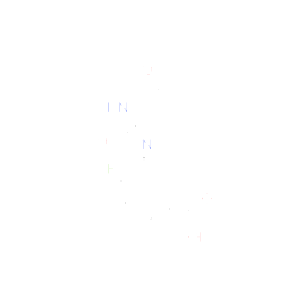 O=C(O)c1ccc(F)c(-n2ccc(=O)[nH]c2=O)c1